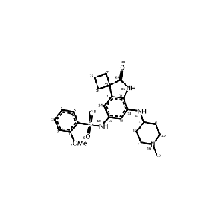 COc1ccccc1S(=O)(=O)Nc1cc(NC2CCN(C)CC2)c2c(c1)C1(CCC1)C(=O)N2